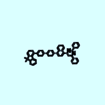 CC1(C)c2ccccc2-c2c(-c3ccc(-c4ccc(-c5ccc(-c6cc(-c7ccccc7)nc(-c7ccccc7)n6)c6ccccc56)cc4)cc3)cccc21